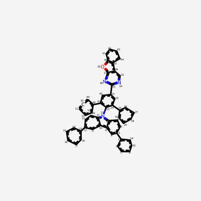 c1ccc(-c2ccc3c(c2)c2cc(-c4ccccc4)ccc2n3-c2c(-c3ccccc3)cc(-c3ncc4c(n3)oc3ccccc34)cc2-c2ccccc2)cc1